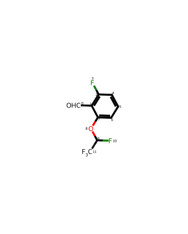 O=Cc1c(F)cccc1OC(F)C(F)(F)F